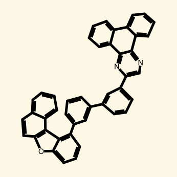 c1cc(-c2cccc(-c3cccc4oc5ccc6ccccc6c5c34)c2)cc(-c2cnc3c4ccccc4c4ccccc4c3n2)c1